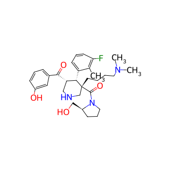 Cc1c(F)cccc1[C@H]1[C@@H](C(=O)c2cccc(O)c2)CNC[C@@]1(CCCCN(C)C)C(=O)N1CCC[C@H]1CO